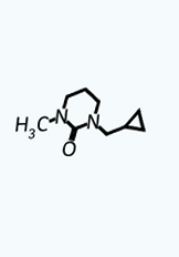 CN1CCCN(CC2CC2)C1=O